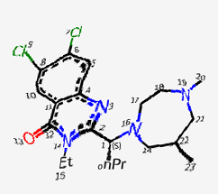 CCC[C@@H](c1nc2cc(Cl)c(Cl)cc2c(=O)n1CC)N1CCN(C)CC(C)C1